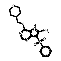 Nc1[nH]c2c(OCC3CCOCC3)ncnc2c1S(=O)(=O)c1ccccc1